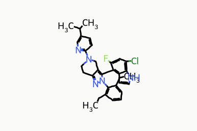 CCc1cccc(CC)c1-n1nc2c(c1-c1c(F)cc(Cl)c3[nH]ccc13)CN(c1ccc(C(C)C)cn1)CC2